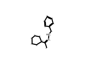 CC(=NNCc1ccccc1)C1CCCCC1